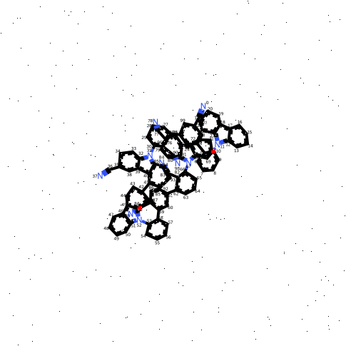 N#Cc1cc(-c2ccccc2-n2c3ccccc3c3ccccc32)cc(-c2cccc(-n3c4ccc(C#N)cc4c4c(-c5ccc6c7ccccc7n(-c7ccccc7-c7cc(-c8cccc(-n9c%10ccccc%10c%10cc(C#N)ccc%109)c8C#N)ccc7C#N)c6c5)cccc43)c2C#N)c1